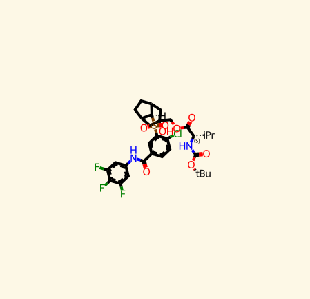 CC(C)[C@H](NC(=O)OC(C)(C)C)C(=O)OC[C@]1(O)CC2CCC(C1)[C@H]2S(=O)(=O)c1cc(C(=O)Nc2cc(F)c(F)c(F)c2)ccc1Cl